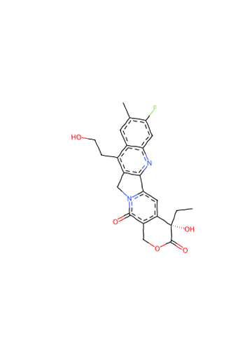 CC[C@@]1(O)C(=O)OCc2c1cc1n(c2=O)Cc2c-1nc1cc(F)c(C)cc1c2CCO